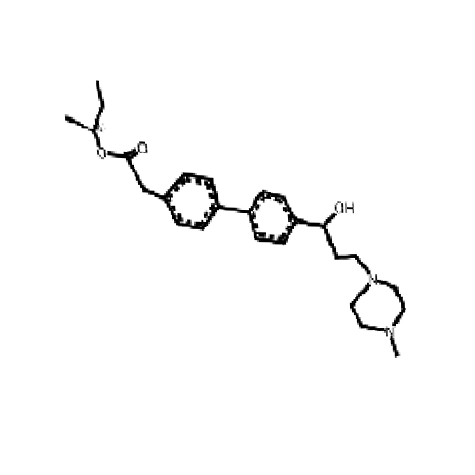 CC[C@H](C)OC(=O)Cc1ccc(-c2ccc(C(O)CCN3CCN(C)CC3)cc2)cc1